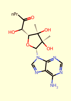 CCCC(=O)C(O)[C@H]1O[C@@H](n2cnc3c(N)ncnc32)[C@](C)(O)[C@]1(C)O